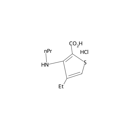 CCCNc1c(CC)csc1C(=O)O.Cl